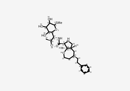 CSC1OC([C@H](NC(=O)[C@H]2NC[C@@H]3C[C@@H](CCc4ccccc4)CCO[C@H]32)[C@H](C)Cl)C(O)C(O)C1O